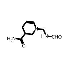 NC(=O)C1CC=CN(CNC=O)C1